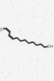 C/C=C\C=C/CCCCCCCCC